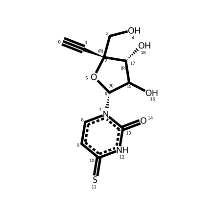 C#C[C@]1(CO)O[C@@H](n2ccc(=S)[nH]c2=O)C(O)[C@H]1O